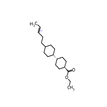 C/C=C/CCC1CCC([C@H]2CC[C@H](C(=O)OCC)CC2)CC1